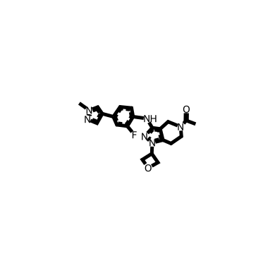 CC(=O)N1CCc2c(c(Nc3ccc(-c4cnn(C)c4)cc3F)nn2C2COC2)C1